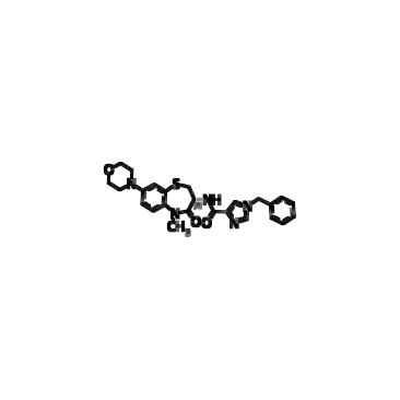 CN1C(=O)[C@@H](NC(=O)c2cn(Cc3ccccc3)cn2)CSc2cc(N3CCOCC3)ccc21